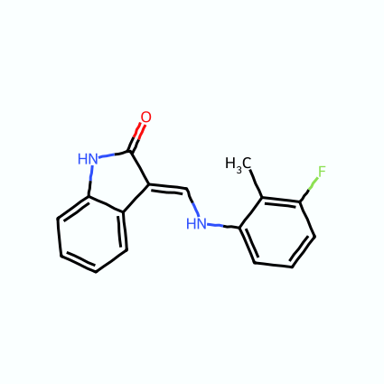 Cc1c(F)cccc1N/C=C1/C(=O)Nc2ccccc21